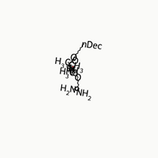 CCCCCCCCCCCCCCCCCCOC(=O)CCC(C)[C@H]1CC[C@H]2[C@@H]3CCC4CC(OCCCCc5cc(N)cc(N)c5)CC[C@]4(C)[C@H]3CC[C@]12C